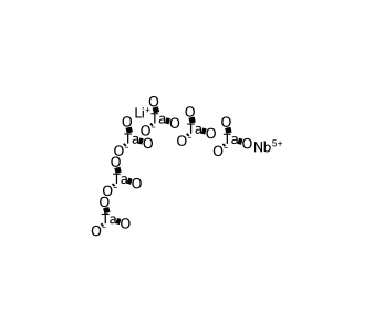 [Li+].[Nb+5].[O]=[Ta](=[O])[O-].[O]=[Ta](=[O])[O-].[O]=[Ta](=[O])[O-].[O]=[Ta](=[O])[O-].[O]=[Ta](=[O])[O-].[O]=[Ta](=[O])[O-]